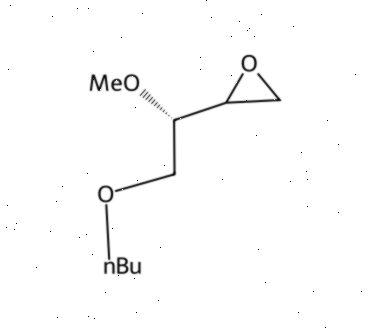 CCCCOC[C@H](OC)C1CO1